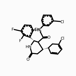 Cc1ccc(F)c(F)c1[C@H]1NC(=O)C[C@@H](C2C=CC=C(Cl)C2)C1C(=O)Nc1cccc(Cl)c1